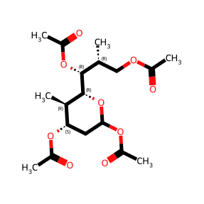 CC(=O)OC[C@@H](C)[C@@H](OC(C)=O)[C@@H]1OC(OC(C)=O)C[C@H](OC(C)=O)[C@H]1C